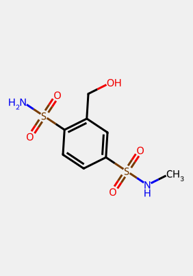 CNS(=O)(=O)c1ccc(S(N)(=O)=O)c(CO)c1